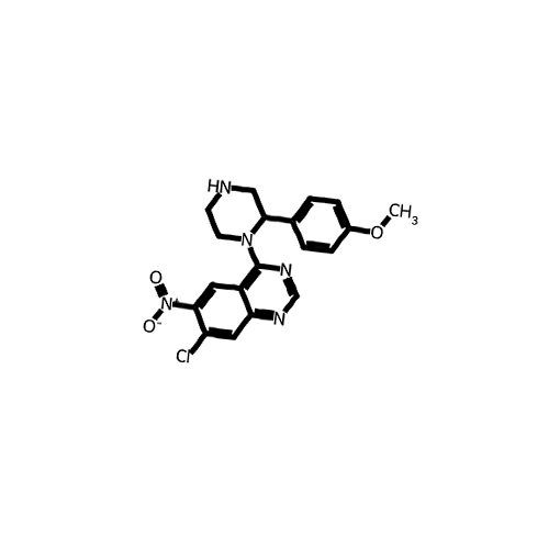 COc1ccc(C2CNCCN2c2ncnc3cc(Cl)c([N+](=O)[O-])cc23)cc1